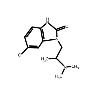 CC(Cn1c(=O)[nH]c2ccc(Cl)cc21)N(C)C